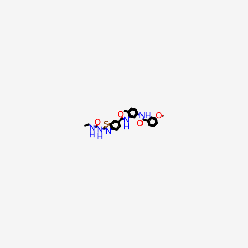 CCNC(=O)Nc1nc2ccc(C(=O)Nc3cc(NC(=O)c4cccc(OC)c4)ccc3C)cc2s1